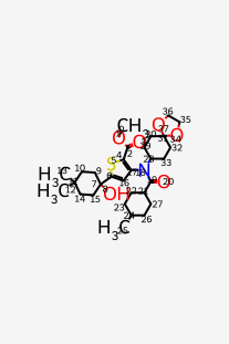 COC(=O)c1sc(C2(O)CCC(C)(C)CC2)cc1N(C(=O)C1CCC(C)CC1)C1CCC2(CC1)OCCO2